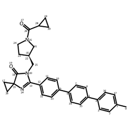 Cc1ccc(-c2ccc(-c3ccc(C4=NC5(CC5)C(=O)N4C[C@H]4CCN(C(=O)C5CC5)C4)cc3)cc2)cc1